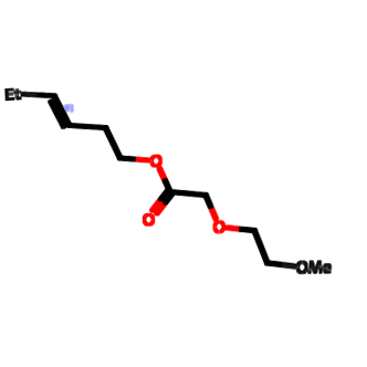 CC/C=C/CCOC(=O)COCCOC